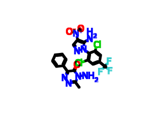 Cc1nnc(-c2ccccc2)c(=O)n1N.Nc1c([N+](=O)[O-])cnn1-c1c(Cl)cc(C(F)(F)F)cc1Cl